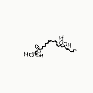 CC/C=C\C=C\C(O)CC(O)/C=C\C=C/C/C=C\CCCCCC(=O)OCC(O)CO